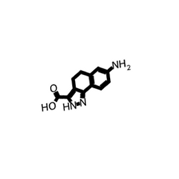 Nc1ccc2c(c1)CCc1c-2n[nH]c1C(=O)O